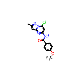 Cc1cc2nc(NC(=O)c3ccc(OC(F)(F)F)cc3)cc(Cl)n2n1